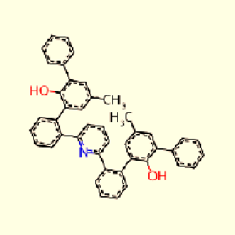 Cc1cc(-c2ccccc2)c(O)c(-c2ccccc2-c2cccc(-c3ccccc3-c3cc(C)cc(-c4ccccc4)c3O)n2)c1